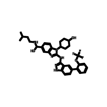 CC(C)CCNC(O)c1ccc2c(c1)nc(Nc1n[nH]c3ccc(-c4ccccc4OC(F)(F)F)cc13)n2C1CCC(O)CC1